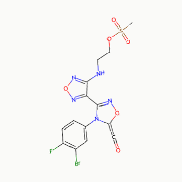 CS(=O)(=O)OCCNc1nonc1C1=NOC(=C=O)N1c1ccc(F)c(Br)c1